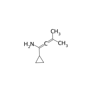 CC(C)=C=C(N)C1CC1